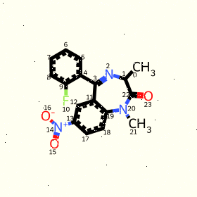 CC1N=C(c2ccccc2F)c2cc([N+](=O)[O-])ccc2N(C)C1=O